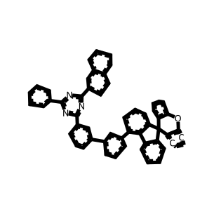 c1ccc(-c2nc(-c3cccc(-c4cccc(-c5cccc6c5-c5ccccc5C65c6ccccc6Oc6ccccc65)c4)c3)nc(-c3ccc4ccccc4c3)n2)cc1